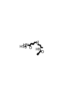 C#CC(=O)NC(C)CCN(C)C/C=C/C(=O)NSS